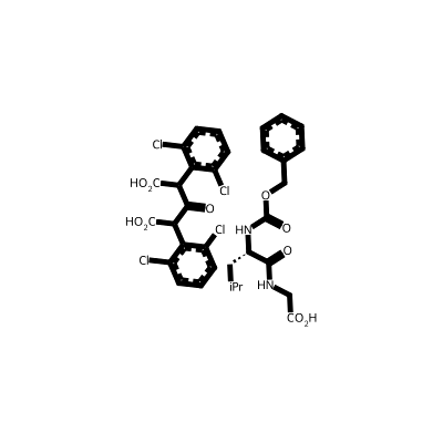 CC(C)C[C@H](NC(=O)OCc1ccccc1)C(=O)NCC(=O)O.O=C(O)C(C(=O)C(C(=O)O)c1c(Cl)cccc1Cl)c1c(Cl)cccc1Cl